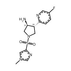 Cn1cnc(S(=O)(=O)N2C[C@@H](N)[C@H](c3ccc(F)cn3)C2)c1